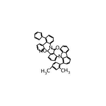 Cc1ccc(-c2cccc3c4ccccc4n(-c4cccc5c4C(=O)N(c4cccc(-c6ccccc6)c4-c4ccccc4)C5O)c23)c(C)c1